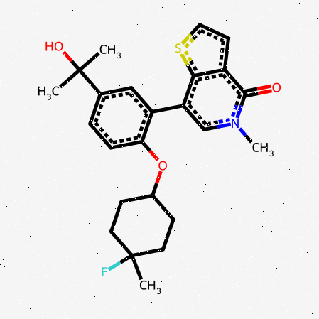 Cn1cc(-c2cc(C(C)(C)O)ccc2OC2CCC(C)(F)CC2)c2sccc2c1=O